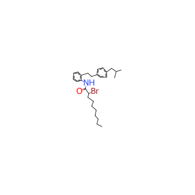 CCCCCCCCC(Br)C(=O)Nc1ccccc1CCc1ccc(CC(C)C)cc1